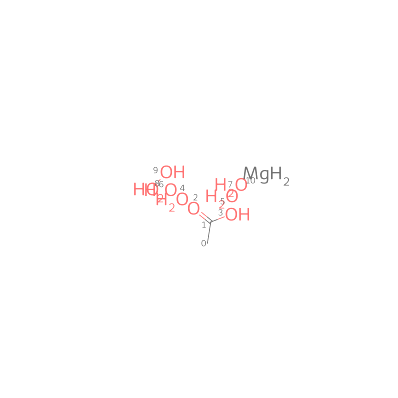 CC(=O)O.O.O.O.O.OO.[MgH2]